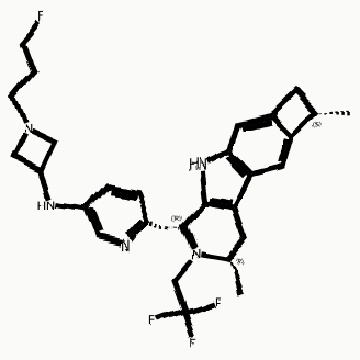 C[C@@H]1Cc2c([nH]c3cc4c(cc23)[C@@H](C)C4)[C@@H](c2ccc(NC3CN(CCCF)C3)cn2)N1CC(F)(F)F